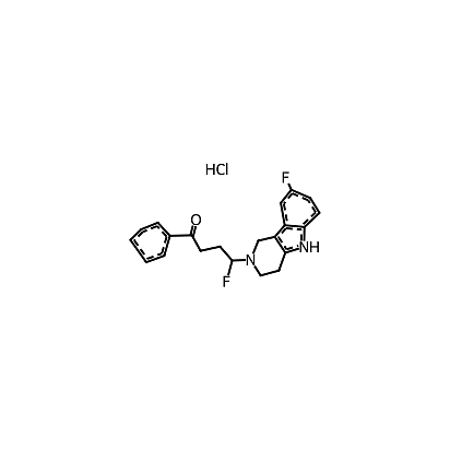 Cl.O=C(CCC(F)N1CCc2[nH]c3ccc(F)cc3c2C1)c1ccccc1